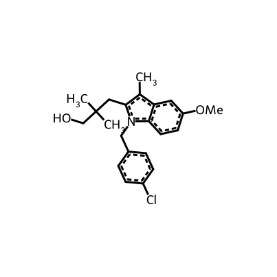 COc1ccc2c(c1)c(C)c(CC(C)(C)CO)n2Cc1ccc(Cl)cc1